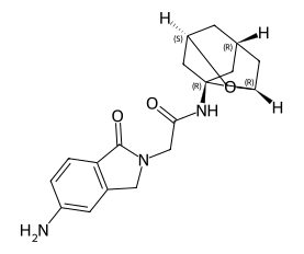 Nc1ccc2c(c1)CN(CC(=O)N[C@@]13C[C@@H]4C[C@@H](C[C@H](C4)O1)C3)C2=O